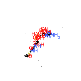 CCC(C)(C)C(=O)SCCNC(=O)CCNC(=O)C(O)C(C)(C)COP(=O)(O)OP(=O)(O)OC[C@H]1O[C@@H](n2cnc3c(N)ncnc32)[C@H](O)[C@@H]1OP(=O)(O)O